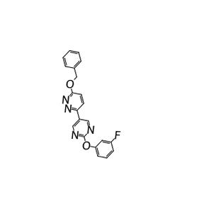 Fc1cccc(Oc2ncc(-c3ccc(OCc4ccccc4)nn3)cn2)c1